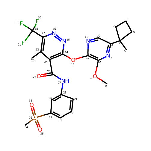 COc1nc(C2(C)CCC2)cnc1Oc1nnc(C(F)(F)F)c(C)c1C(=O)Nc1cccc(S(C)(=O)=O)c1